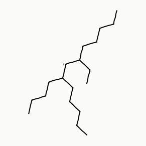 CCCCCC([CH]C(CCCC)CCCCC)CC